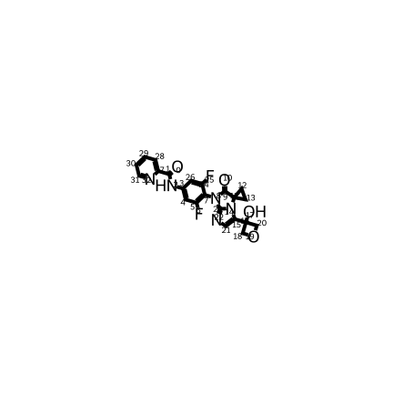 O=C(Nc1cc(F)c(N2C(=O)C3(CC3)n3c(C4(O)COC4)cnc32)c(F)c1)c1ccccn1